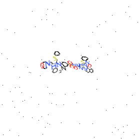 O=C(NS(=O)(=O)c1ccc(N[C@H](CCN2CCOCC2)CSc2ccccc2)c([N+](=O)[O-])c1)c1csc(N2CCc3ccccc3C2C(=O)Nc2nc3ccccc3s2)n1